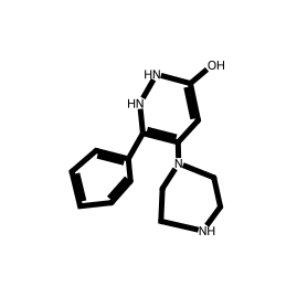 OC1=CC(N2CCNCC2)=C(c2ccccc2)NN1